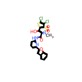 CN1C(C(=O)Nc2cccc(-c3cc4ccccc4o3)n2)=C(O)c2sc(Cl)c(Cl)c2S1(=O)=O